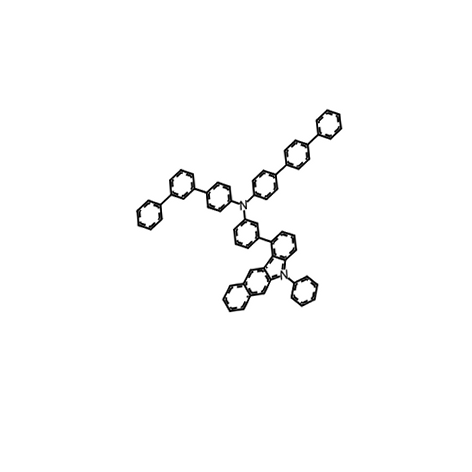 c1ccc(-c2ccc(-c3ccc(N(c4ccc(-c5cccc(-c6ccccc6)c5)cc4)c4cccc(-c5cccc6c5c5cc7ccccc7cc5n6-c5ccccc5)c4)cc3)cc2)cc1